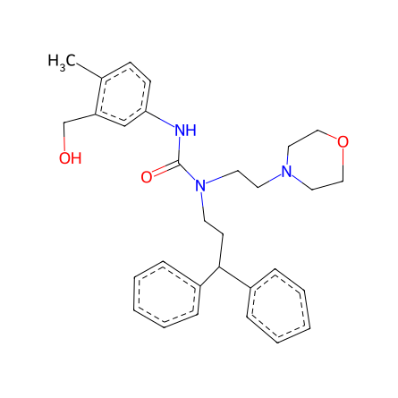 Cc1ccc(NC(=O)N(CCC(c2ccccc2)c2ccccc2)CCN2CCOCC2)cc1CO